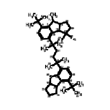 CC1c2c(C(C)(C)C)ccc(C(C)(C)CCC(C)(C)c3ccc(C(C)(C)C)c4c3SC3CCCC43)c2C2C1CCC2(F)F